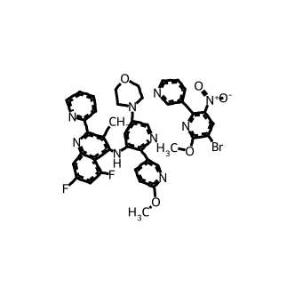 COc1ccc(-c2ncc(N3CCOCC3)cc2Nc2c(C)c(-c3ccccn3)nc3cc(F)cc(F)c23)cn1.COc1nc(-c2cccnc2)c([N+](=O)[O-])cc1Br